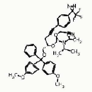 COc1ccc(C(OC[C@H](CC#Cc2ccc(C3(C(F)(F)F)N=N3)cc2)OP(OCC#N)N(C(C)C)C(C)C)(c2ccccc2)c2ccc(OC)cc2)cc1